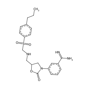 CCCc1ccc(S(=O)(=O)CNCC2CN(c3cccc(C(=N)N)c3)C(=O)O2)cc1